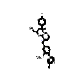 COc1cc(/C=C2\CCON3C2=NC(CO)CC3(C)c2ccc(F)cc2)ccc1-n1cnc(C)c1